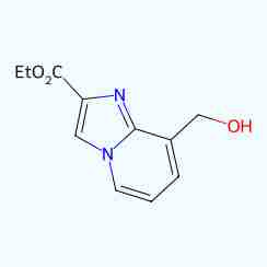 CCOC(=O)c1cn2cccc(CO)c2n1